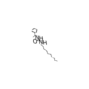 CCCCCCCCCCNC(=O)NC(C)c1ccccc1